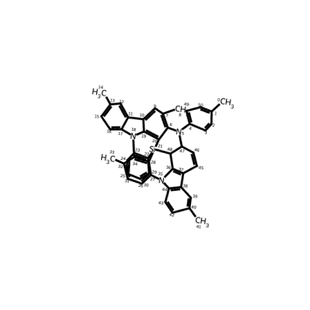 Cc1ccc(N2c3c(C)cc4c5cc(C)ccc5n5c4c3[Si]3(c4ccccc4)c4c(ccc(C)c4-5)-n4c5c(c6cc(C)ccc64)C=CC2C53)cc1